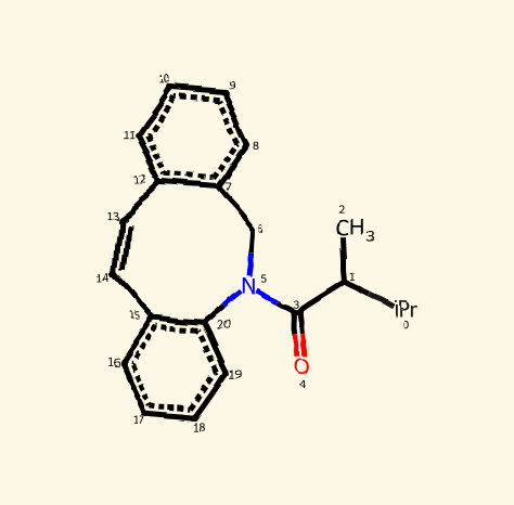 CC(C)C(C)C(=O)N1Cc2ccccc2/C=C\c2ccccc21